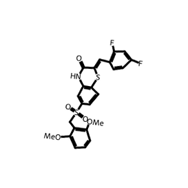 COc1cccc(OC)c1CS(=O)(=O)c1ccc2c(c1)NC(=O)C(=Cc1ccc(F)cc1F)S2